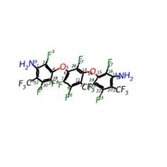 Nc1c(F)c(Oc2c(F)c(F)c(C(F)(F)F)c(Oc3c(F)c(N)c(C(F)(F)F)c(F)c3F)c2F)c(F)c(F)c1C(F)(F)F